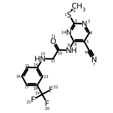 CSc1ncc(C#N)c(NC(=O)CNc2cccc(C(F)(F)F)c2)n1